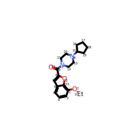 CCOc1cccc2cc(C(=O)N3CCN(C4CCCC4)CC3)oc12